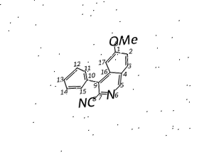 COc1ccc2cnc(C#N)c(-c3ccccc3)c2c1